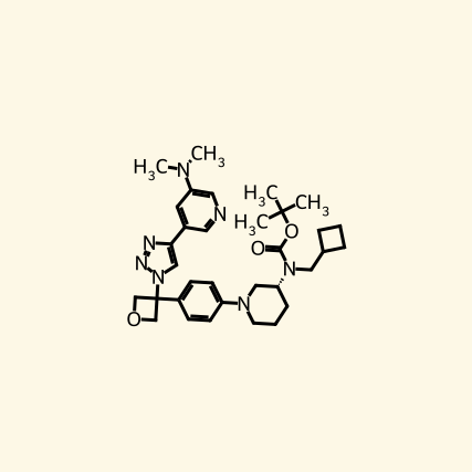 CN(C)c1cncc(-c2cn(C3(c4ccc(N5CCC[C@@H](N(CC6CCC6)C(=O)OC(C)(C)C)C5)cc4)COC3)nn2)c1